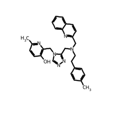 Cc1ccc(CCN(Cc2ccc3ccccc3n2)Cc2nncn2Cc2nc(C)ccc2O)cc1